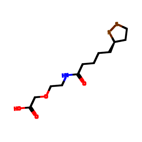 O=C(O)COCCNC(=O)CCCC[C@@H]1CCSS1